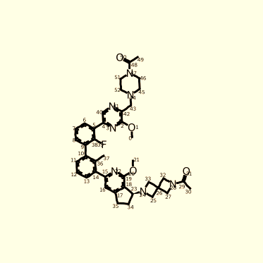 COc1nc(-c2cccc(-c3cccc(-c4cc5c(c(OC)n4)[C@@H](N4CC6(CN(C(C)=O)C6)C4)CC5)c3C)c2F)cnc1CN1CCN(C(C)=O)CC1